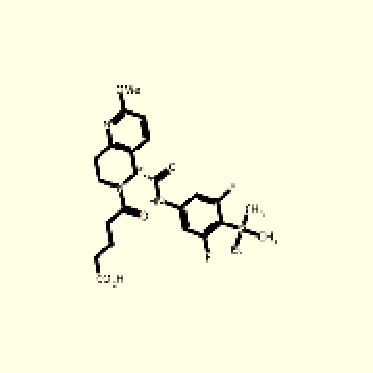 CC[Si](C)(C)c1c(F)cc(NC(=O)[C@H]2c3ccc(OC)nc3CCN2C(=O)CCCC(=O)O)cc1F